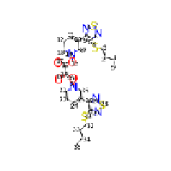 CCCCSc1nsnc1C1=CCCN(OC(=O)C(=O)ON2CCC=C(c3nsnc3SCCCC)C2)C1